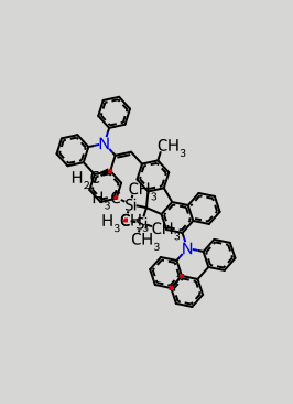 C=C/C(=C\c1cc2c(cc1C)-c1c(cc(N(c3ccccc3)c3ccccc3-c3ccccc3)c3ccccc13)C2([Si](C)(C)C)[Si](C)(C)C)N(c1ccccc1)c1ccccc1-c1ccccc1